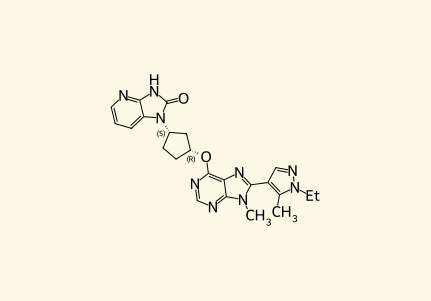 CCn1ncc(-c2nc3c(O[C@@H]4CC[C@H](n5c(=O)[nH]c6ncccc65)C4)ncnc3n2C)c1C